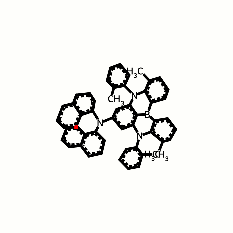 Cc1ccccc1N1c2cc(N(c3cccc4ccccc34)c3cccc4ccccc34)cc3c2B(c2cccc(C)c21)c1cccc(C)c1N3c1ccccc1C